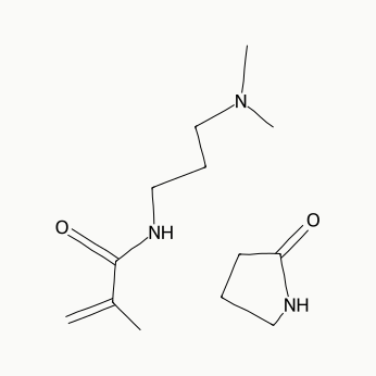 C=C(C)C(=O)NCCCN(C)C.O=C1CCCN1